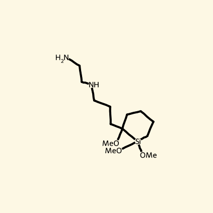 COC1(CCCNCCN)CCCC[Si]1(OC)OC